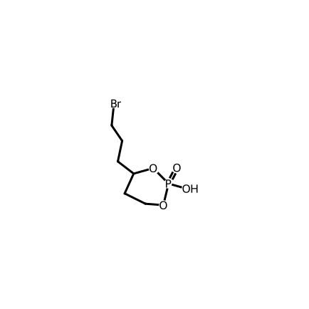 O=P1(O)OCCC(CCCBr)O1